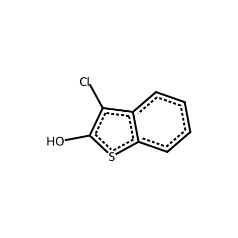 Oc1sc2ccccc2c1Cl